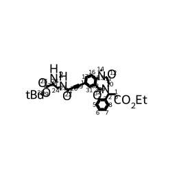 CCOC(=O)CC(c1ccccc1)N1CC(=O)N(C)c2ccc(C#CC(=O)NCC(N)C(=O)OC(C)(C)C)cc2C1=O